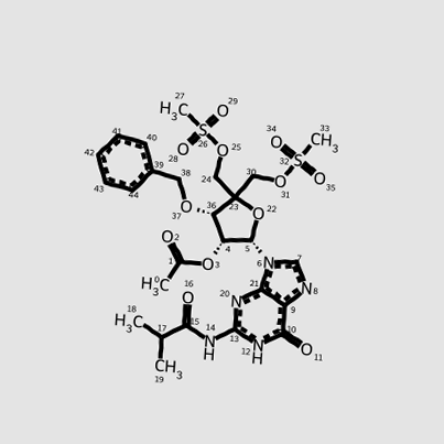 CC(=O)O[C@H]1[C@@H](n2cnc3c(=O)[nH]c(NC(=O)C(C)C)nc32)OC(COS(C)(=O)=O)(COS(C)(=O)=O)[C@H]1OCc1ccccc1